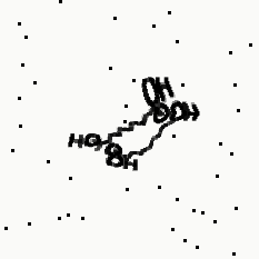 CC(O)CCCCCCCCC(=O)O.O=C(O)CCCCCCCCCO